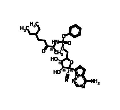 CCC(CC)CCC(=O)[C@H](C)NP(=O)(OCC1O[C@@](C#N)(c2ccc3c(N)ncnn23)[C@H](O)[C@@H]1O)Oc1ccccc1